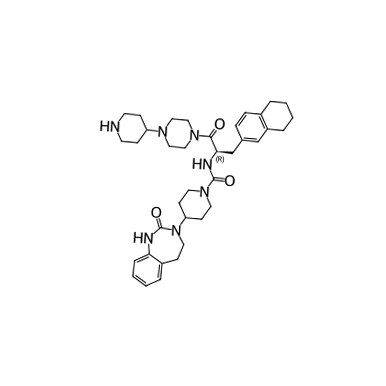 O=C(N[C@H](Cc1ccc2c(c1)CCCC2)C(=O)N1CCN(C2CCNCC2)CC1)N1CCC(N2CCc3ccccc3NC2=O)CC1